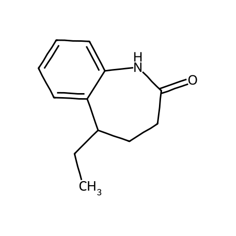 CCC1CCC(=O)Nc2ccccc21